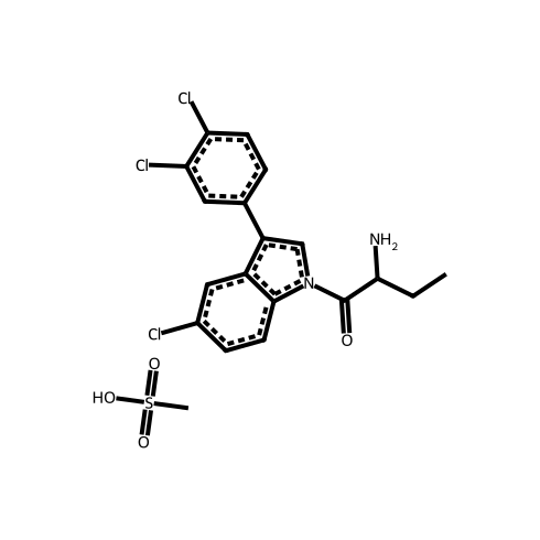 CCC(N)C(=O)n1cc(-c2ccc(Cl)c(Cl)c2)c2cc(Cl)ccc21.CS(=O)(=O)O